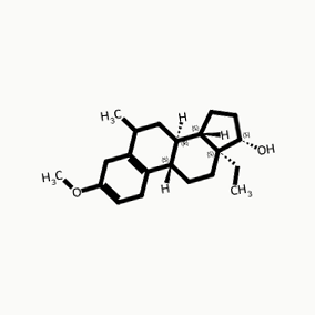 CC[C@]12CC[C@@H]3C4=C(CC(OC)=CC4)C(C)C[C@H]3[C@@H]1CC[C@@H]2O